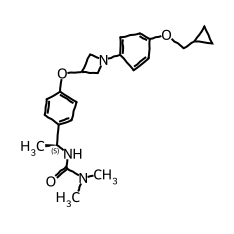 C[C@H](NC(=O)N(C)C)c1ccc(OC2CN(c3ccc(OCC4CC4)cc3)C2)cc1